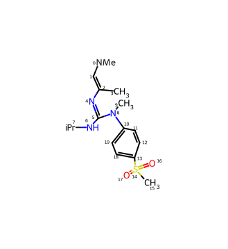 CN/C=C(C)/N=C(/NC(C)C)N(C)c1ccc(S(C)(=O)=O)cc1